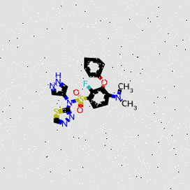 CN(C)c1ccc(S(=O)(=O)N(c2cn[nH]c2)c2nncs2)c(F)c1Oc1ccccc1